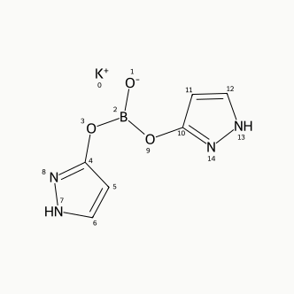 [K+].[O-]B(Oc1cc[nH]n1)Oc1cc[nH]n1